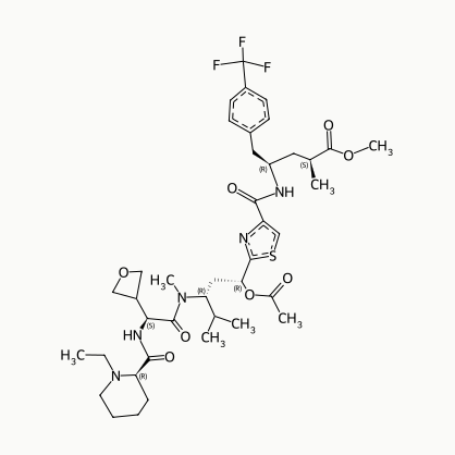 CCN1CCCC[C@@H]1C(=O)N[C@H](C(=O)N(C)[C@H](C[C@@H](OC(C)=O)c1nc(C(=O)N[C@@H](Cc2ccc(C(F)(F)F)cc2)C[C@H](C)C(=O)OC)cs1)C(C)C)C1COC1